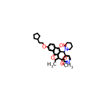 COC(=O)c1c(C)oc2c1c(C(c1ccncc1)N1CCCCC1)c(O)c1ccc(OCCC3CCCC3)cc12